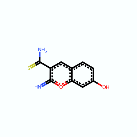 N=c1oc2cc(O)ccc2cc1C(N)=S